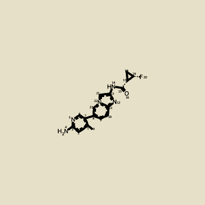 Cc1cc(N)ncc1-c1ccc2nc(NC(=O)[C@@H]3C[C@@H]3F)cn2c1